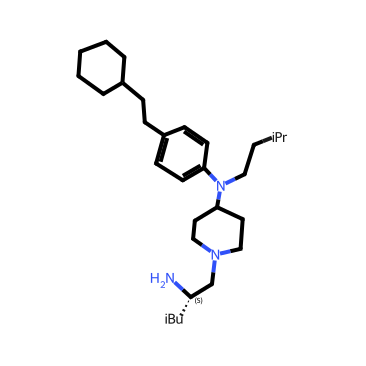 CCC(C)[C@H](N)CN1CCC(N(CCC(C)C)c2ccc(CCC3CCCCC3)cc2)CC1